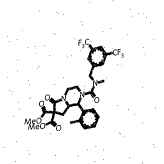 COC(=O)C1(C(=O)OC)CC2C(c3ccccc3C)N(C(=O)N(C)Cc3cc(C(F)(F)F)cc(C(F)(F)F)c3)CCN2C1=O